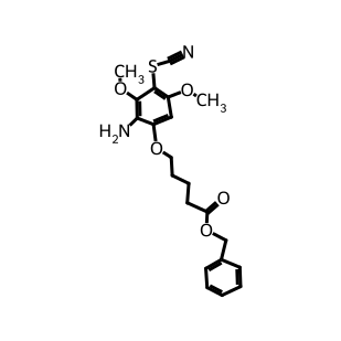 COc1cc(OCCCCC(=O)OCc2ccccc2)c(N)c(OC)c1SC#N